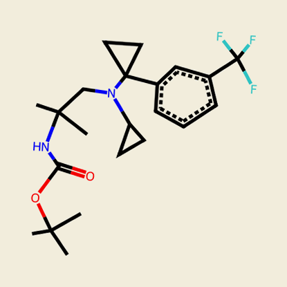 CC(C)(CN(C1CC1)C1(c2cccc(C(F)(F)F)c2)CC1)NC(=O)OC(C)(C)C